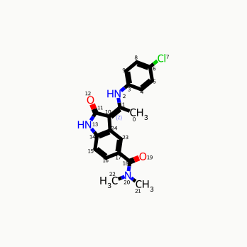 C/C(Nc1ccc(Cl)cc1)=C1/C(=O)Nc2ccc(C(=O)N(C)C)cc21